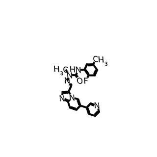 Cc1ccc(F)c(NC(=O)N(C)N=Cc2cnc3ccc(-c4cccnc4)cn23)c1